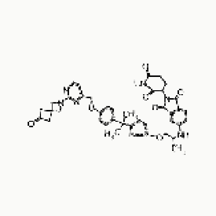 CC(COc1ccc(C(C)(C)c2ccc(OCc3ccnc(N4CC5(CC(=O)C5)C4)n3)cc2)cc1)Nc1ccc2c(c1)C(=O)N(C1CCC(=O)NC1=O)C2=O